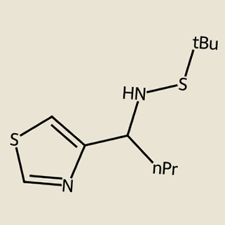 CCCC(NSC(C)(C)C)c1cscn1